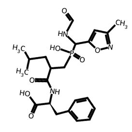 Cc1cc(C(NC=O)P(=O)(O)CC(CC(C)C)C(=O)N[C@@H](Cc2ccccc2)C(=O)O)on1